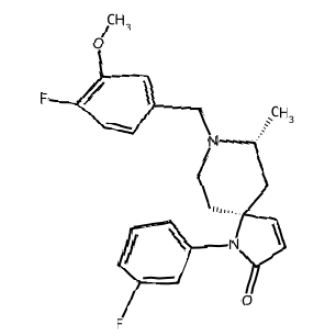 COc1cc(CN2CC[C@@]3(C=CC(=O)N3c3cccc(F)c3)C[C@H]2C)ccc1F